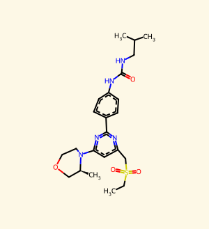 CCS(=O)(=O)Cc1cc(N2CCOC[C@@H]2C)nc(-c2ccc(NC(=O)NCC(C)C)cc2)n1